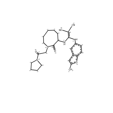 Cc1cc2cc(NC(NC3CCCCCN(CC(=O)N4CCCC4)C3=O)=C(C#N)C#N)ccc2o1